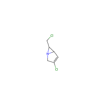 ClCC1C2C=C(Cl)CN21